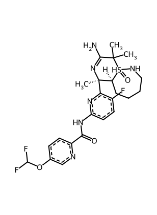 CC1(C)C(N)=N[C@](C)(c2nc(NC(=O)c3ccc(OC(F)F)cn3)ccc2F)[C@@H]2CCCCN[SH]21=O